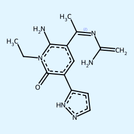 C=C(N)/N=C(/C)c1cc(-c2ccn[nH]2)c(=O)n(CC)c1N